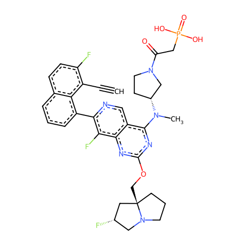 C#Cc1c(F)ccc2cccc(-c3ncc4c(N(C)[C@@H]5CCN(C(=O)CP(=O)(O)O)C5)nc(OC[C@@]56CCCN5C[C@H](F)C6)nc4c3F)c12